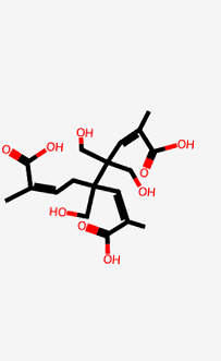 CC(=CCC(C=C(C)C(=O)O)(CO)C(C=C(C)C(=O)O)(CO)CO)C(=O)O